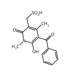 Cc1c(C(=O)c2ccccc2)c(O)n(C)c(=O)c1CS(=O)(=O)O